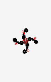 C[Si]1(c2ccc(C=CC(=O)c3ccccc3)cc2)O[Si](C)(c2ccc(C=CC(=O)c3ccccc3)cc2)O[Si](C)(c2ccc(C=CC(=O)c3ccccc3)cc2)O[Si](C)(c2ccc(C=CC(=O)c3ccccc3)cc2)O1